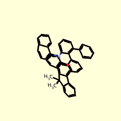 CC1(C)c2ccccc2-c2ccc(N(c3cccc(-c4ccccc4)c3-c3ccccc3-c3ccccc3)c3cccc4ccccc34)cc21